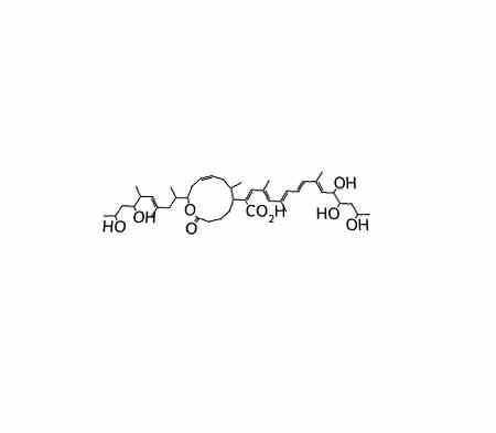 CC(=CC=CC(C)=CC(O)C(O)CC(C)O)C=C(C)C=C(C(=O)O)C1CCCC(=O)OC(C(C)CC(C)=CC(C)C(O)CC(C)O)CC=CCC1C